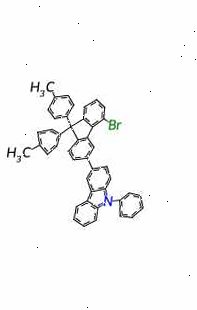 Cc1ccc(C2(c3ccc(C)cc3)c3ccc(-c4ccc5c(c4)c4ccccc4n5-c4ccccc4)cc3-c3c(Br)cccc32)cc1